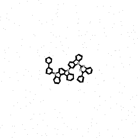 c1ccc(-c2cccc(-n3c4ccccc4c4c5c6ccccc6n(-c6ccc7c8ccccc8n(-c8nc(-c9ccccc9)c9ccccc9n8)c7c6)c5ccc43)c2)cc1